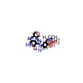 CC(C)(C)N1Cc2cc(Nc3nn(C4COCCC4C#N)c4cc[nH]c(=O)c34)ccc2S1(O)O